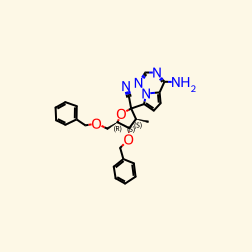 C[C@H]1[C@H](OCc2ccccc2)[C@@H](COCc2ccccc2)OC1(C#N)c1ccc2c(N)ncnn12